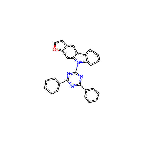 c1ccc(-c2nc(-c3ccccc3)nc(-n3c4ccccc4c4cc5ccoc5cc43)n2)cc1